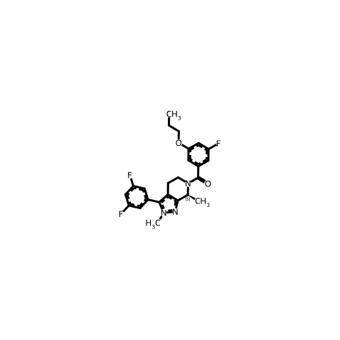 CCCOc1cc(F)cc(C(=O)N2CCc3c(nn(C)c3-c3cc(F)cc(F)c3)[C@@H]2C)c1